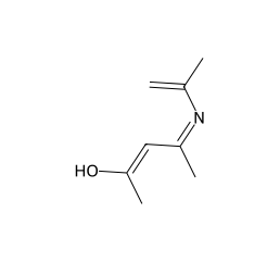 C=C(C)/N=C(C)\C=C(/C)O